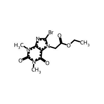 CCOC(=O)Cn1c(Br)nc2c1c(=O)n(C)c(=O)n2C